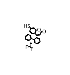 FC(F)F.O=c1ccc2ccc(S)cc2o1.c1ccc(-c2ccccc2)cc1